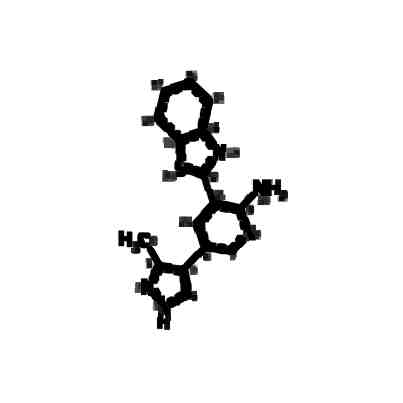 Cc1n[nH]cc1-c1cnc(N)c(-c2nc3ccccc3s2)c1